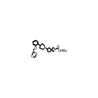 CC(C)(C)OC(=O)N1CC2(CC[C@@H](N3CCC(c4ccccc4OC[C@@H]4COCCO4)CC3)C2)C1